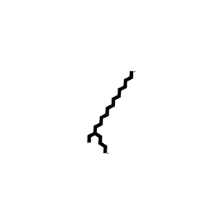 [CH2]CCCCCCCCCCCCC(CC)CCC[CH2]